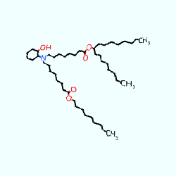 CCCCCCCCCOC(=O)CCCCCCCN(CCCCCCCC(=O)OC(CCCCCCCC)CCCCCCCC)C1CCCCC1O